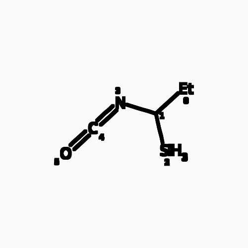 CCC([SiH3])N=C=O